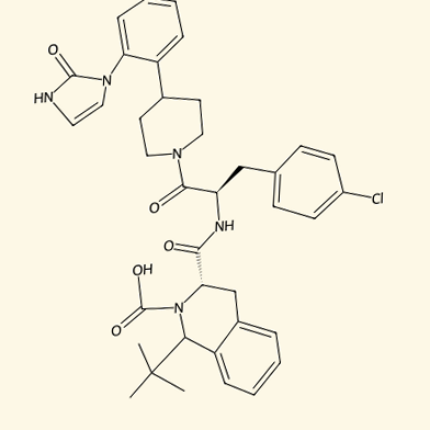 CC(C)(C)C1c2ccccc2C[C@@H](C(=O)N[C@H](Cc2ccc(Cl)cc2)C(=O)N2CCC(c3ccccc3-n3cc[nH]c3=O)CC2)N1C(=O)O